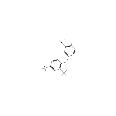 Cc1ccc(Cc2ccc(C(F)(F)F)cc2C(F)(F)F)cc1C(F)(F)F